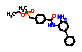 CCO[P@@](C)(=O)Cc1ccc(C(=O)Nc2cc(-c3ccccc3)ccc2N)cc1